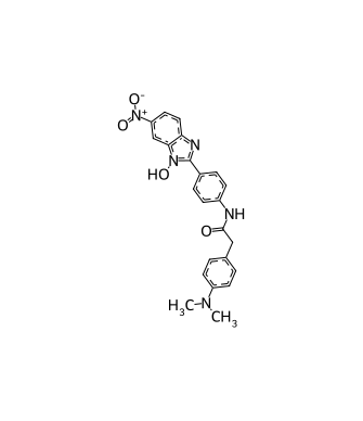 CN(C)c1ccc(CC(=O)Nc2ccc(-c3nc4ccc([N+](=O)[O-])cc4n3O)cc2)cc1